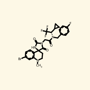 CN1CCC2(NC(=O)N(CC(=O)N(Cc3ccc(F)cc3)[C@@H](C3CC3)C(F)(F)F)C2=O)c2ccc(Br)cc21